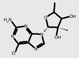 CC1O[C@@H](n2cnc3c(Cl)nc(N)nc32)[C@](C)(O)C1O